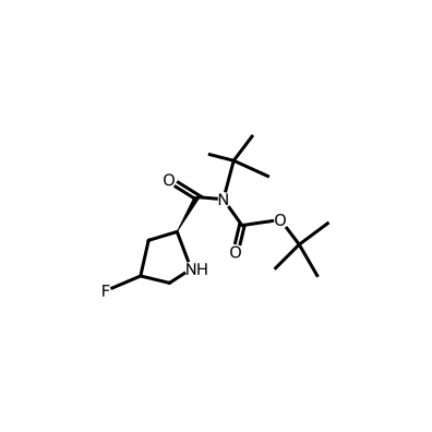 CC(C)(C)OC(=O)N(C(=O)[C@@H]1CC(F)CN1)C(C)(C)C